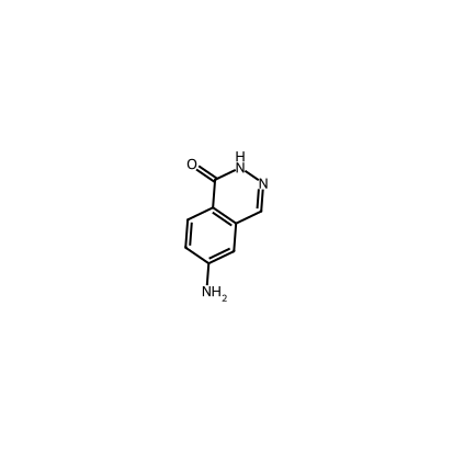 Nc1ccc2c(=O)[nH]ncc2c1